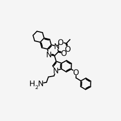 CC(=O)On1c(=O)c(-c2cn(CCCN)c3cc(OCc4ccccc4)ccc23)nc2cc3c(cc21)CCCC3